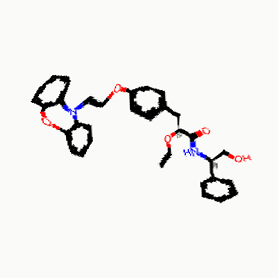 CCO[C@@H](Cc1ccc(OCCN2c3ccccc3Oc3ccccc32)cc1)C(=O)N[C@@H](CO)c1ccccc1